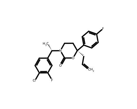 C=CC[C@@]1(c2ccc(F)cc2)CCN([C@@H](C)c2ccc(Cl)c(F)c2)C(=O)O1